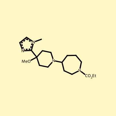 CCOC(=O)N1CCCC(N2CCC(OC)(c3nccn3C)CC2)CC1